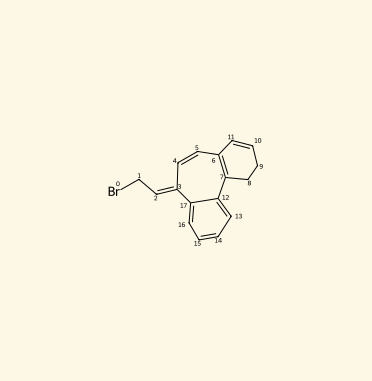 BrCC=C1C=CC2=C(CCC=C2)c2ccccc21